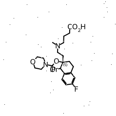 CC(C)C1c2ccc(F)cc2CC[C@@]1(CCN(C)CCCC(=O)O)OC(=O)N1CCOCC1